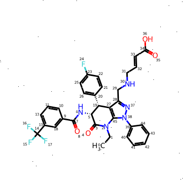 CCN1C(=O)[C@H](NC(=O)c2cccc(C(F)(F)F)c2)[C@H](c2ccc(F)cc2)c2c(CNCC=CC(=O)O)nn(-c3ccccc3)c21